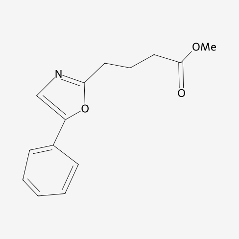 COC(=O)CCCc1ncc(-c2ccccc2)o1